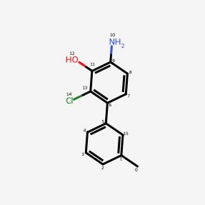 Cc1cccc(-c2ccc(N)c(O)c2Cl)c1